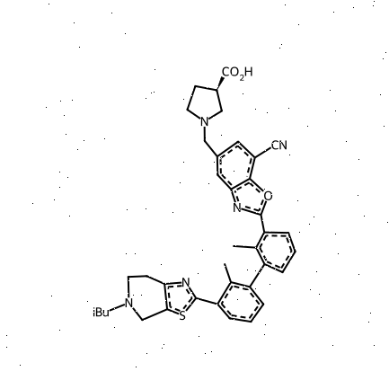 CCC(C)N1CCc2nc(-c3cccc(-c4cccc(-c5nc6cc(CN7CC[C@@H](C(=O)O)C7)cc(C#N)c6o5)c4C)c3C)sc2C1